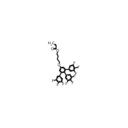 C=CC(=O)OCCCCOc1cc(-c2cc(F)c(F)c(F)c2)c(-c2cc(F)c(F)c(F)c2)c(-c2cc(F)c(F)c(F)c2)c1